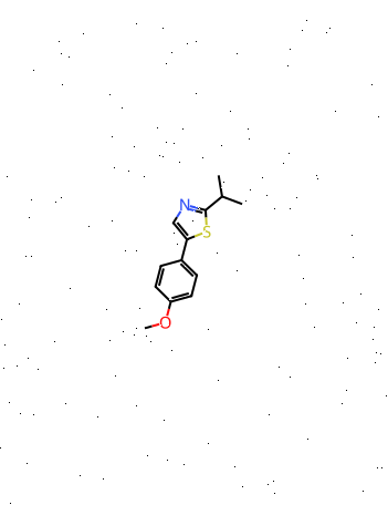 COc1ccc(-c2cnc(C(C)C)s2)cc1